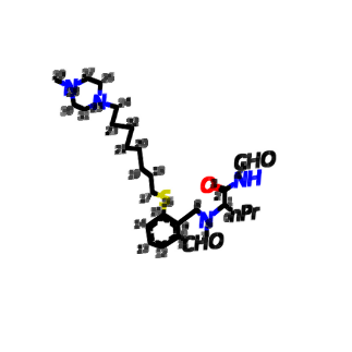 CCCC(C(=O)NC=O)N(C)Cc1c(C=O)cccc1SCCCCCCCCN1CCN(C)CC1